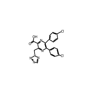 O=C(O)c1nc(-c2ccc(Cl)cc2)c(-c2ccc(Cl)cc2)nc1Cn1ncnn1